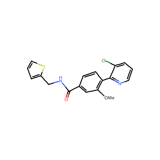 COc1cc(C(=O)NCc2cccs2)ccc1-c1ncccc1Cl